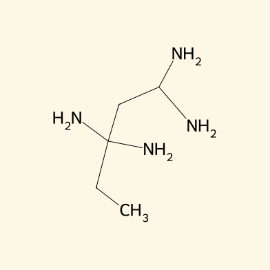 CCC(N)(N)CC(N)N